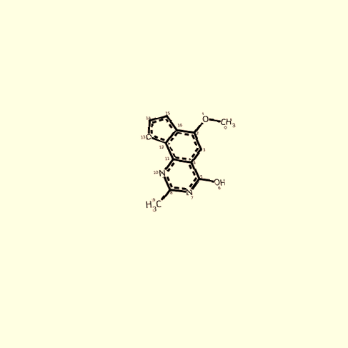 COc1cc2c(O)nc(C)nc2c2occc12